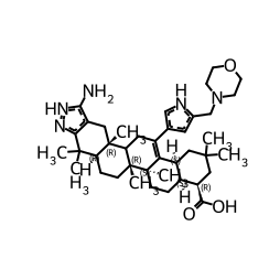 CC1(C)C[C@@H]2C3=C(c4c[nH]c(CN5CCOCC5)c4)CC4[C@@]5(C)Cc6c(n[nH]c6N)C(C)(C)[C@@H]5CC[C@@]4(C)[C@]3(C)CC[C@@H]2[C@H](C(=O)O)C1